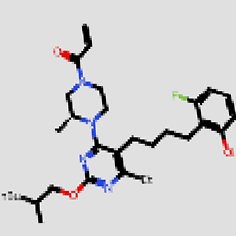 C=CC(=O)N1CCN(c2nc(OCC(C)CCCC)nc(CC)c2CCCCc2c(O)cccc2F)[C@@H](C)C1